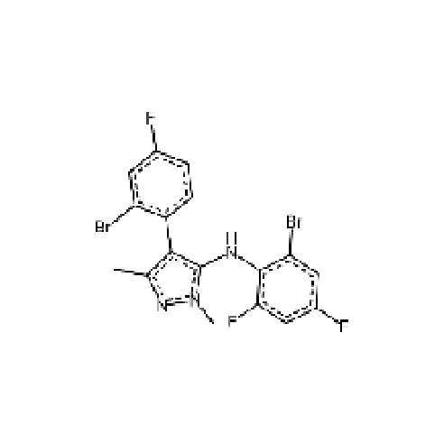 Cc1nn(C)c(Nc2c(F)cc(F)cc2Br)c1-c1ccc(F)cc1Br